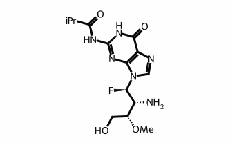 CO[C@H](CO)[C@@H](N)[C@@H](F)n1cnc2c(=O)[nH]c(NC(=O)C(C)C)nc21